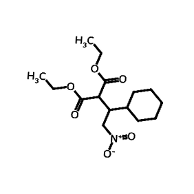 CCOC(=O)C(C(=O)OCC)C(C[N+](=O)[O-])C1CCCCC1